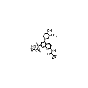 C[C@@H]1CN(c2cc(S(=O)(=O)NC3(C)CC3)cc3nc(NC(=O)C45CC4C5)ccc23)CC[C@@H]1O